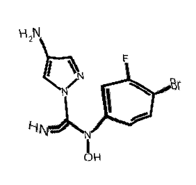 N=C(N(O)c1ccc(Br)c(F)c1)n1cc(N)cn1